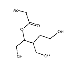 CC(=O)CC(=O)OC(CO)C(CO)CCO